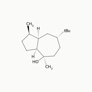 C[C@@H]1CC[C@H]2[C@@H]1C[C@H](C(C)(C)C)CC[C@@]2(C)O